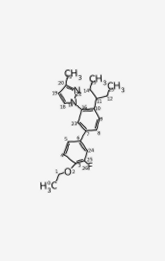 CCOc1ccc(-c2ccc(C(CC)CC)c(-n3ccc(C)n3)c2)cc1F